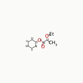 CCOC(C)C(=O)OC1CCCCC1